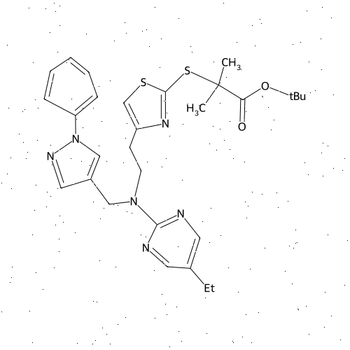 CCc1cnc(N(CCc2csc(SC(C)(C)C(=O)OC(C)(C)C)n2)Cc2cnn(-c3ccccc3)c2)nc1